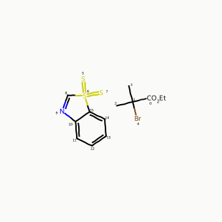 CCOC(=O)C(C)(C)Br.S=S1(=S)C=Nc2ccccc21